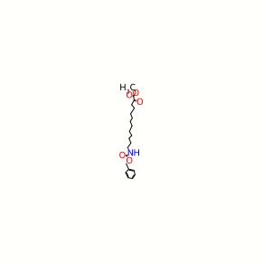 COC(=O)C(=O)CCCCCCCCCCCNC(=O)OCc1ccccc1